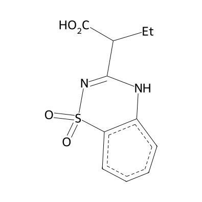 CCC(C(=O)O)C1=NS(=O)(=O)c2ccccc2N1